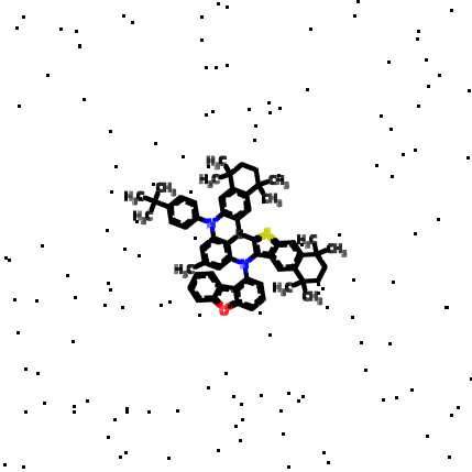 Cc1cc2c3c(c1)N(c1cccc4oc5ccccc5c14)c1c(sc4cc5c(cc14)C(C)(C)CCC5(C)C)B3c1cc3c(cc1N2c1ccc(C(C)(C)C)cc1)C(C)(C)CCC3(C)C